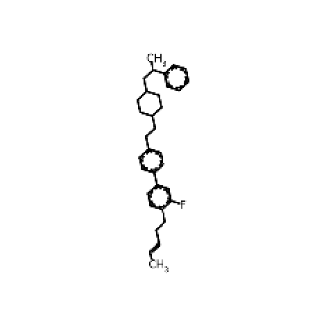 C/C=C/CCc1ccc(-c2ccc(CCC3CCC(C[C@@H](C)c4ccccc4)CC3)cc2)cc1F